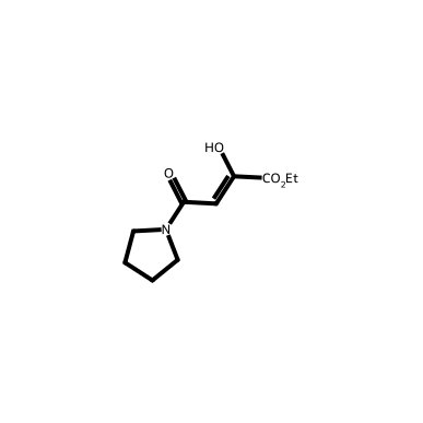 CCOC(=O)/C(O)=C/C(=O)N1CCCC1